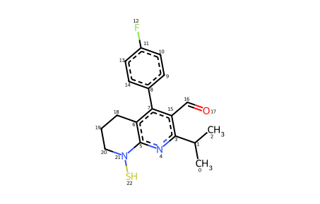 CC(C)c1nc2c(c(-c3ccc(F)cc3)c1C=O)CCCN2S